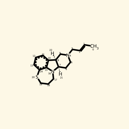 C/C=C/CN1CC[C@@H]2[C@H](C1)c1cccc3c1N2CCCS3